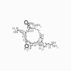 CCCC[C@@H]1NC(=O)[C@@H](NC(=O)[C@H](CCCNC(=N)N)NC(C)=O)CC(=O)NCCCC[C@@H](C(N)=O)NC(=O)[C@H](Cc2c[nH]c3ccccc23)NC(=O)[C@H](CCCNC(=N)N)NC(=O)C(Cc2ccccc2)NC1=O